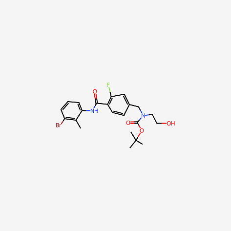 Cc1c(Br)cccc1NC(=O)c1ccc(CN(CCO)C(=O)OC(C)(C)C)cc1F